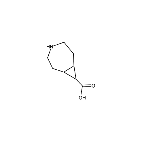 O=C(O)C1C2CCNCCC21